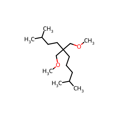 COCC(CCCC(C)C)(CCC(C)C)COC